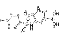 O=S(=O)(Nc1cc(B(O)O)cnc1Cl)c1ccc(F)cc1